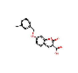 Cc1cccc(COc2ccc3cc(C(=O)O)c(=O)oc3c2)c1